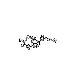 CCN(CCOC)C(=O)c1csc(Nc2nc(C)cn3c(-c4cnn(COCC[Si](C)(C)C)c4)cnc23)c1